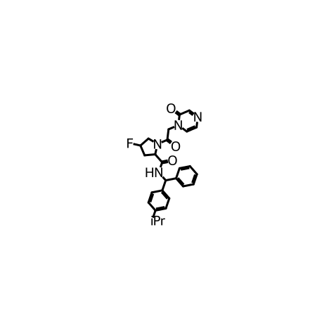 CC(C)c1ccc(C(NC(=O)C2CC(F)CN2C(=O)Cn2ccncc2=O)c2ccccc2)cc1